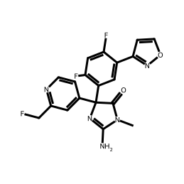 CN1C(=O)C(c2ccnc(CF)c2)(c2cc(-c3ccon3)c(F)cc2F)N=C1N